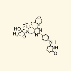 C[C@H]1COCCN1c1nc(-c2ccc(Nc3cccc(=O)[nH]3)cc2)nc2c1CCN(C(=O)C(C)(C)O)C2